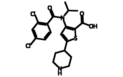 CC(C)N(C(=O)c1ccc(Cl)cc1Cl)c1cc(C2CCNCC2)sc1C(=O)O